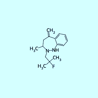 C=C1CC(C)N(CC(C)(C)F)Nc2ccccc21